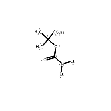 CCOC(=O)C(C)(C)OC(=O)N(CC)CC